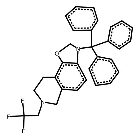 FC(F)(F)CN1CCc2c(ccc3c2OCN3C(c2ccccc2)(c2ccccc2)c2ccccc2)C1